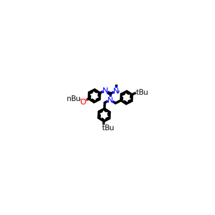 CCCCOc1ccc(N=C(N(C)C)N(Cc2ccc(C(C)(C)C)cc2)Cc2ccc(C(C)(C)C)cc2)cc1